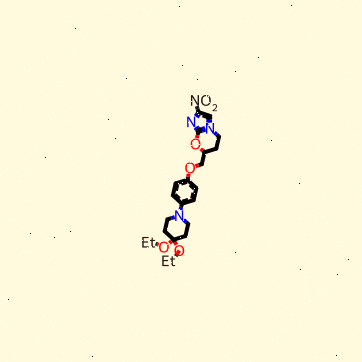 CCOC1(OCC)CCN(c2ccc(OCC3CCn4cc([N+](=O)[O-])nc4O3)cc2)CC1